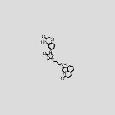 O=C1COc2ccc(N3C[C@H](CCCN[C@@H]4Cn5c(=O)ccc6cccc4c65)OC3=O)cc2N1